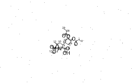 CCC(=O)Oc1ccc(C(CC(C)OC(=O)OC)[C@H](N)C(=O)O)cc1OC(=O)CC